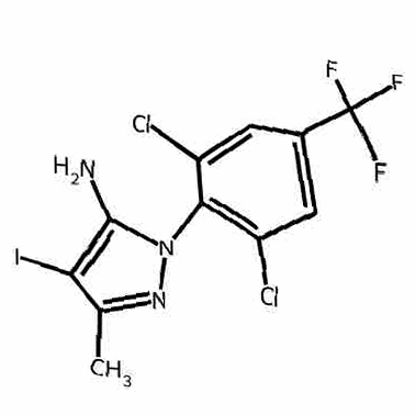 Cc1nn(-c2c(Cl)cc(C(F)(F)F)cc2Cl)c(N)c1I